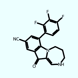 N#Cc1cc2c(c(-c3ccc(F)c(F)c3F)c1)N1CCCNC=C1C2=O